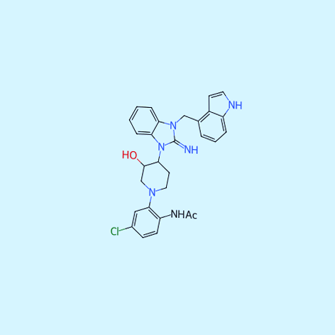 CC(=O)Nc1ccc(Cl)cc1N1CCC(n2c(=N)n(Cc3cccc4[nH]ccc34)c3ccccc32)C(O)C1